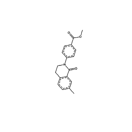 COC(=O)c1ccc(N2CCc3ccc(C)cc3C2=O)cc1